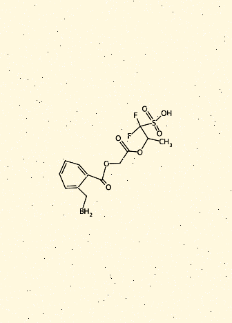 BCc1ccccc1C(=O)OCC(=O)OC(C)C(F)(F)S(=O)(=O)O